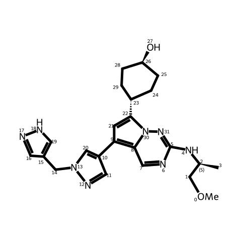 COC[C@H](C)Nc1ncc2c(-c3cnn(Cc4cn[nH]c4)c3)cc([C@H]3CC[C@H](O)CC3)n2n1